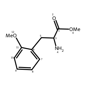 COC(=O)C(N)Cc1ccccc1OC